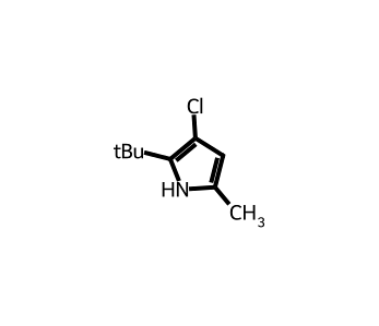 Cc1cc(Cl)c(C(C)(C)C)[nH]1